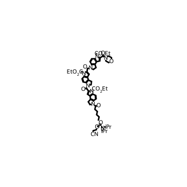 CCOC(=O)n1c(C(=O)N2CCc3c2ccc2c3cc(C(=O)N3CCc4c3ccc3c4cc(C(=O)N4CCOCC4)n3C(=O)OCC)n2C(=O)OCC)cc2c3c(ccc21)N(C(=O)CCCCCOP(OCCC#N)N(C(C)C)C(C)C)CC3